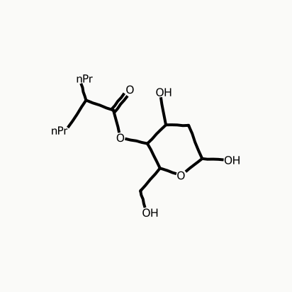 CCCC(CCC)C(=O)OC1C(O)CC(O)OC1CO